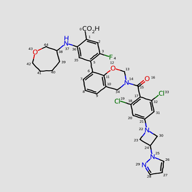 O=C(O)c1cc(F)c(-c2cccc3c2OCN(C(=O)c2c(Cl)cc(N4CC(n5cccn5)C4)cc2Cl)C3)cc1NC1CCCCOC1